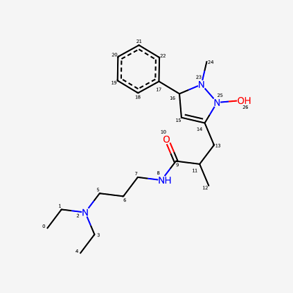 CCN(CC)CCCNC(=O)C(C)CC1=CC(c2ccccc2)N(C)N1O